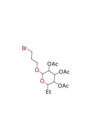 CCC1OC(OCCCBr)C(OC(C)=O)C(OC(C)=O)C1OC(C)=O